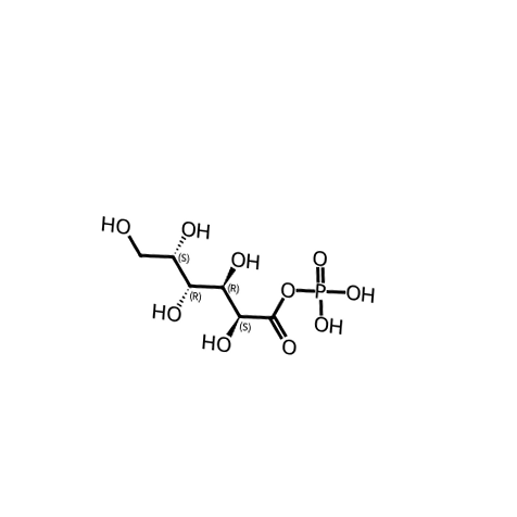 O=C(OP(=O)(O)O)[C@@H](O)[C@H](O)[C@H](O)[C@@H](O)CO